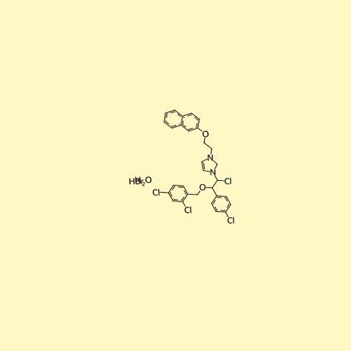 Br.Clc1ccc(C(OCc2ccc(Cl)cc2Cl)C(Cl)N2C=CN(CCOc3ccc4ccccc4c3)C2)cc1.O